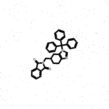 O=C1c2ccccc2C(=O)N1CC1CCc2ncn(C(c3ccccc3)(c3ccccc3)c3ccccc3)c2C1